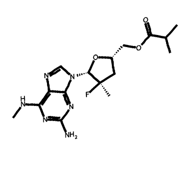 CNc1nc(N)nc2c1ncn2[C@@H]1O[C@H](COC(=O)C(C)C)C[C@@]1(C)F